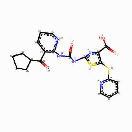 O=C(Nc1nc(C(=O)O)c(Sc2ccccn2)s1)Nc1ncccc1C(=O)C1CCCC1